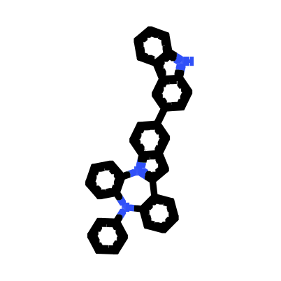 c1ccc(N2c3ccccc3-c3cc4cc(-c5ccc6[nH]c7ccccc7c6c5)ccc4n3-c3ccccc32)cc1